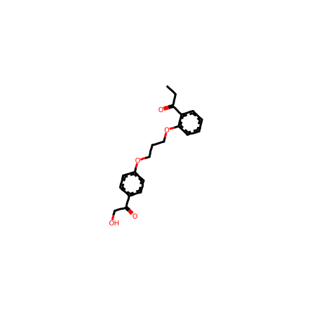 CCC(=O)c1ccccc1OCCCOc1ccc(C(=O)CO)cc1